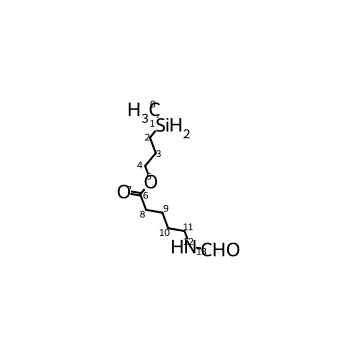 C[SiH2]CCCOC(=O)CCCCNC=O